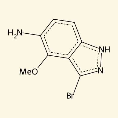 COc1c(N)ccc2[nH]nc(Br)c12